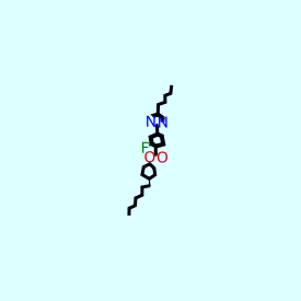 CCCCCCC[C@H]1CC[C@H](OC(=O)c2ccc(-c3ncc(CCCCC)cn3)cc2F)CC1